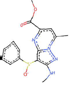 CNc1nn2c(C)cc(C(=O)OC)nc2c1[S+]([O-])c1ccccc1